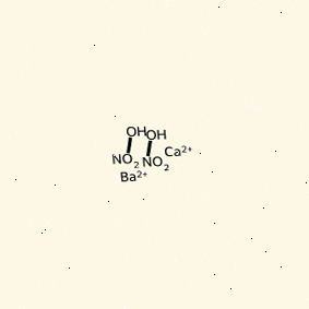 O=[N+]([O-])O.O=[N+]([O-])O.[Ba+2].[Ca+2]